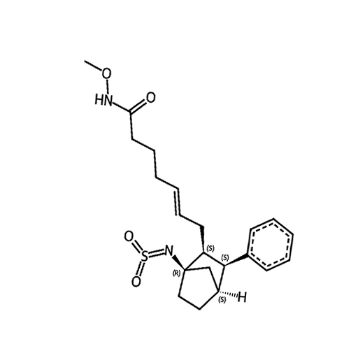 CONC(=O)CCCC=CC[C@H]1[C@@H](c2ccccc2)[C@H]2CC[C@@]1(N=S(=O)=O)C2